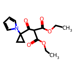 CCOC(=O)C(C(=O)OCC)C(=O)C1(n2cccc2)CC1